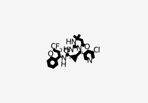 CC1(C)CC(=O)N([C@H](c2cncc(Cl)c2)C2C[C@H]2C(=O)N[C@H]2CC(C(F)(F)F)Oc3ccccc32)C(=N)N1